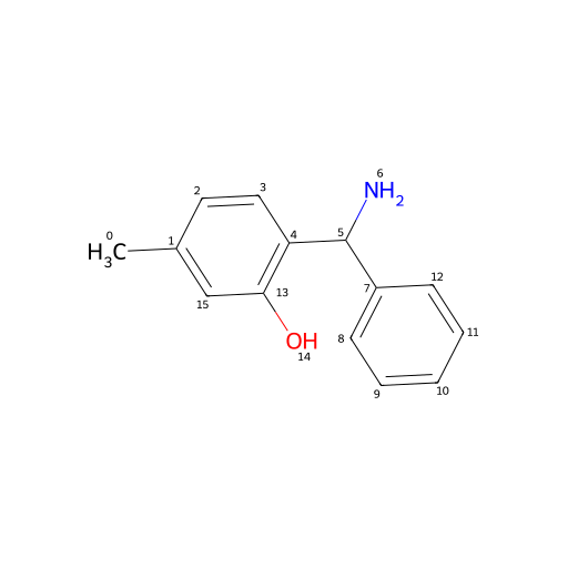 Cc1ccc(C(N)c2ccccc2)c(O)c1